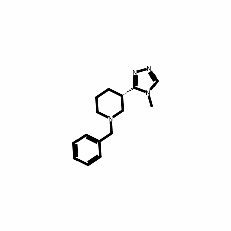 Cn1cnnc1[C@H]1CCCN(Cc2ccccc2)C1